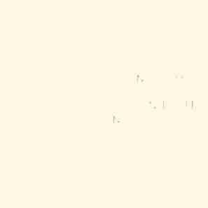 O=C(O)C1CN=Cc2c(-c3ccc(-c4cccc(-c5ccccc5)c4)cc3)nc3ccc(F)cc3c2N1